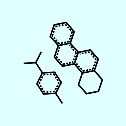 Cc1ccc(C(C)C)cc1.c1ccc2c(c1)ccc1c3c(ccc12)CCCC3